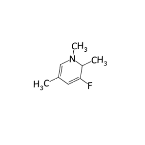 CC1=CN(C)C(C)C(F)=C1